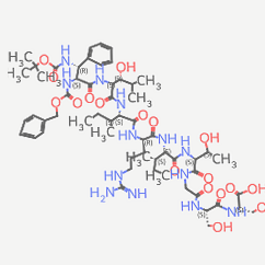 CC[C@H](C)[C@H](NC(=O)[C@@H](NC(=O)[C@@H](NC(=O)OCc1ccccc1)[C@H](NC(=O)OC(C)(C)C)c1ccccc1)[C@H](O)C(C)C)C(=O)N[C@H](CCCNC(=N)N)C(=O)N[C@H](C(=O)N[C@H](C(=O)NCC(=O)N[C@@H](CO)C(=O)N[C@@H](CO)C(=O)O)[C@H](C)O)[C@@H](C)CC